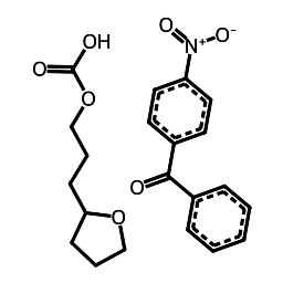 O=C(O)OCCCC1CCCO1.O=C(c1ccccc1)c1ccc([N+](=O)[O-])cc1